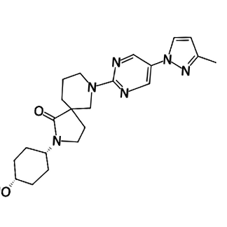 Cc1ccn(-c2cnc(N3CCCC4(CCN([C@H]5CC[C@@H](O)CC5)C4=O)C3)nc2)n1